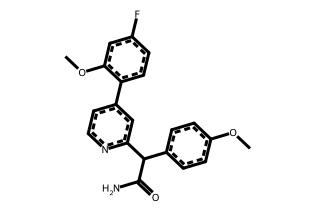 COc1ccc(C(C(N)=O)c2cc(-c3ccc(F)cc3OC)ccn2)cc1